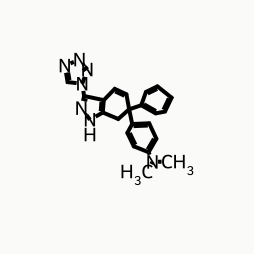 CN(C)c1ccc(C2(c3ccccc3)C=Cc3c(-n4cnnn4)n[nH]c3C2)cc1